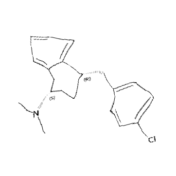 CN(C)[C@H]1C[C@@H](Cc2ccc(Cl)cc2)c2ccccc21